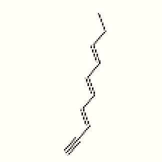 C#CC=CC=CC=CCC